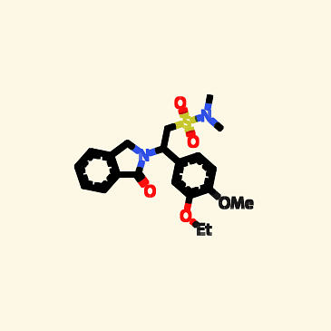 CCOc1cc(C(CS(=O)(=O)N(C)C)N2Cc3ccccc3C2=O)ccc1OC